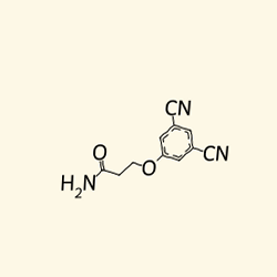 N#Cc1cc(C#N)cc(OCCC(N)=O)c1